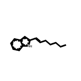 CCCCCC=Cc1cc2ccccc2[nH]1